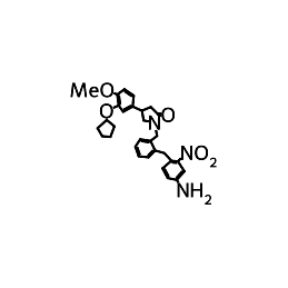 COc1ccc(C2CC(=O)N(Cc3ccccc3Cc3ccc(N)cc3[N+](=O)[O-])C2)cc1OC1CCCC1